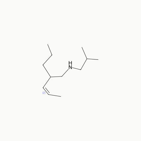 C/C=C\C(CCC)CNCC(C)C